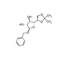 CC1(C)OC[C@H]([C@@H]2O[C@@H](OCc3ccccc3)[C@H](O)[C@H]2O)O1